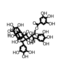 O=C(OCC(O)C(O)(C(=O)c1cc(O)c(O)c(O)c1)C(O)(C(=O)c1cc(O)c(O)c(O)c1)C(O)(C(=O)C(=O)c1cc(O)c(O)c(O)c1)C(=O)c1cc(O)c(O)c(O)c1)c1cc(O)c(O)c(O)c1